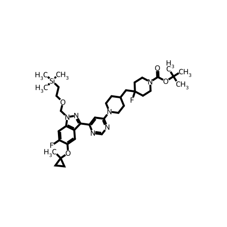 CC(C)(C)OC(=O)N1CCC(F)(CC2CCN(c3cc(-c4nn(COCC[Si](C)(C)C)c5cc(F)c(OC6(C)CC6)cc45)ncn3)CC2)CC1